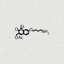 CCn1c(=O)c(COC(C)=O)cc2ccc(OCCCCN)cc21